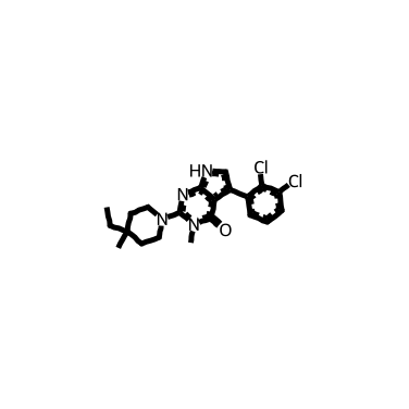 CCC1(C)CCN(c2nc3[nH]cc(-c4cccc(Cl)c4Cl)c3c(=O)n2C)CC1